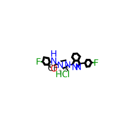 C[C@H]1CN(C(=O)Nc2ccc(F)cc2C(F)(F)F)CCN1c1nnc(-c2ccc(F)cc2)c2ccccc12.Cl